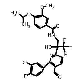 COc1cc(C(=O)NCC(O)(c2ccc(C=O)c(-c3ccc(F)c(Cl)c3)n2)C(F)(F)F)ccc1OC(C)C